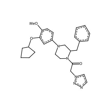 COc1ccc(N2CCN(C(=O)Cn3ccnn3)C(Cc3ccccc3)C2)cc1OC1CCCC1